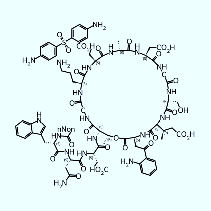 CCCCCCCCCC(=O)N[C@@H](Cc1c[nH]c2ccccc12)C(=O)N[C@@H](CC(N)=O)C(=O)N[C@@H](CC(=O)O)C(=O)N[C@@H]1C(=O)NCC(=O)N[C@@H](CCCN)C(=O)N[C@@H](CC(=O)O)C(=O)N[C@H](C)C(=O)N[C@@H](CC(=O)O)C(=O)NCC(=O)N[C@H](CO)C(=O)N[C@@H]([C@H](C)CC(=O)O)C(=O)N[C@@H](CC(=O)c2ccccc2N)C(=O)O[C@@H]1C.Nc1ccc(S(=O)(=O)c2ccc(N)cc2)cc1